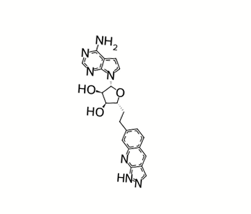 Nc1ncnc2c1ccn2[C@@H]1O[C@H](CCc2ccc3cc4cn[nH]c4nc3c2)[C@@H](O)[C@H]1O